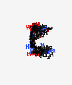 C#CCOCCOCCOCCOCCC(=O)N(CC1=CN(CCO[C@H]([C@H](O)CO)[C@@H]2OC(C(=O)O)=C[C@H](NC(=N)N)C2NC(C)=O)NN1)Cc1cn(CCO[C@@H]([C@@H]2OC(C(=O)O)=C[C@H](NC(=N)N)[C@H]2NC(C)=O)[C@H](O)CO)nn1